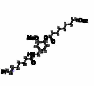 CCCCCCCCCCCCCCCCCC(=O)Oc1ccc(CNC(=O)CCCC/C=C/C(C)C)cc1OC